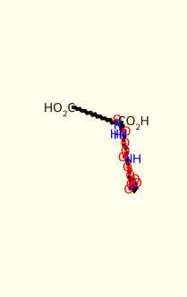 O=C(O)CCCCCCCCCCCCCCCCC(=O)NC(CCC(=O)NCCOCCOCC(=O)NCCOCCOCC(=O)ON1C(=O)CCC1=O)C(=O)O